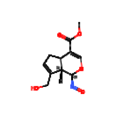 COC(=O)C1=CO[C@@H](N=O)[C@@H]2C(CO)=CCC12